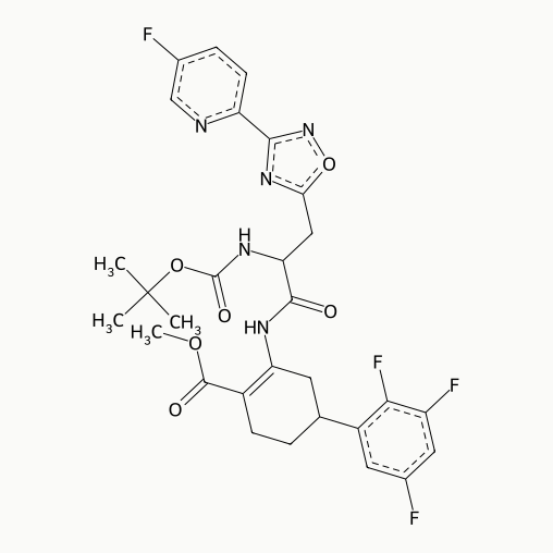 COC(=O)C1=C(NC(=O)C(Cc2nc(-c3ccc(F)cn3)no2)NC(=O)OC(C)(C)C)CC(c2cc(F)cc(F)c2F)CC1